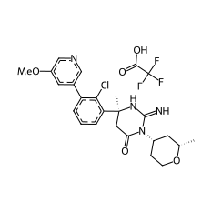 COc1cncc(-c2cccc([C@]3(C)CC(=O)N([C@H]4CCO[C@@H](C)C4)C(=N)N3)c2Cl)c1.O=C(O)C(F)(F)F